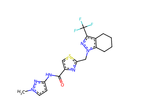 Cn1ccc(NC(=O)c2csc(Cn3nc(C(F)(F)F)c4c3CCCC4)n2)n1